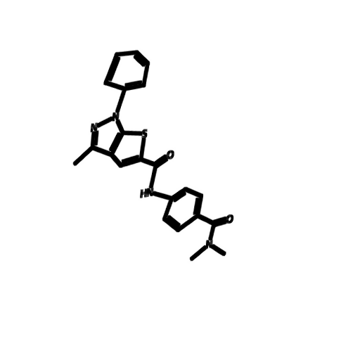 Cc1nn(-c2ccccc2)c2sc(C(=O)Nc3ccc(C(=O)N(C)C)cc3)cc12